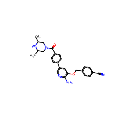 CC1CN(C(=O)c2ccc(-c3cnc(N)c(OCc4ccc(C#N)cc4)c3)cc2)CC(C)N1